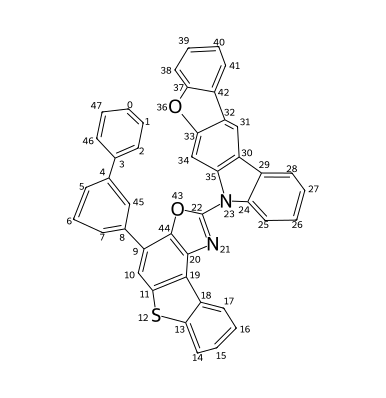 c1ccc(-c2cccc(-c3cc4sc5ccccc5c4c4nc(-n5c6ccccc6c6cc7c(cc65)oc5ccccc57)oc34)c2)cc1